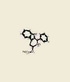 O=C(O)OC1Cc2c([nH]c3ccccc23)C(c2ccccc2)N1